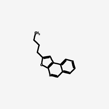 CCCCc1cc2c(ncc3ccccc32)o1